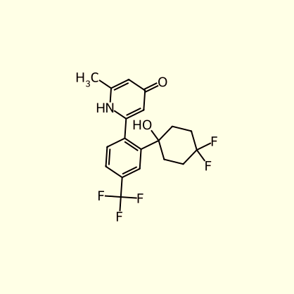 Cc1cc(=O)cc(-c2ccc(C(F)(F)F)cc2C2(O)CCC(F)(F)CC2)[nH]1